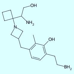 BCCc1ccc(CC2CN(C3(C(N)CO)CCC3)C2)c(C)c1O